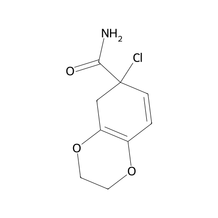 NC(=O)C1(Cl)C=CC2=C(C1)OCCO2